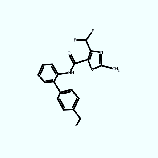 Cc1nc(C(F)F)c(C(=O)Nc2ccccc2-c2ccc(CF)cc2)s1